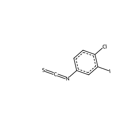 S=C=Nc1ccc(Cl)c(I)c1